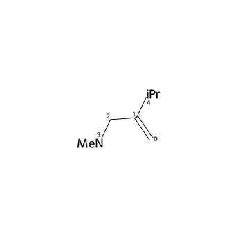 C=C(CNC)C(C)C